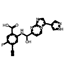 C#Cc1cc(NC(O)c2ccn3c(-c4cn[nH]c4)cnc3n2)c(C(=O)O)cc1F